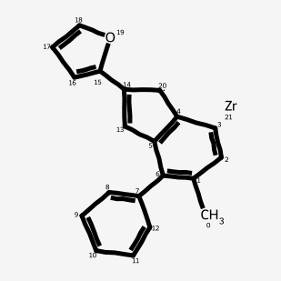 Cc1ccc2c(c1-c1ccccc1)C=C(c1ccco1)[CH]2.[Zr]